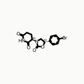 O=C1CC[C@@H](N2C[C@H](c3ccc(Br)cc3)OC2=O)C(=O)N1